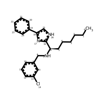 CCCCCC[C@@H](NCc1cccc(Cl)c1)c1nc(-c2ccccc2)c[nH]1